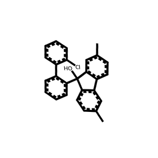 Cc1ccc2c(c1)-c1ccc(C)cc1C2(O)c1ccccc1-c1ccccc1Cl